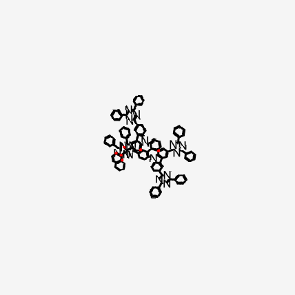 c1ccc(-c2nc(-c3ccccc3)nc(-c3ccc(-n4c5ccc(-c6nc(-c7ccccc7)nc(-c7ccccc7)n6)cc5c5cc(-c6nc(-c7ccccc7)nc(-c7ccccc7)n6)ccc54)c(-c4ccccc4-n4c5ccc(-c6nc(-c7ccccc7)nc(-c7ccccc7)n6)cc5c5cc(-c6nc(-c7ccccc7)nc(-c7ccccc7)n6)ccc54)c3)n2)cc1